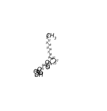 CCCCCCCCCCc1ccccc1OC(=O)CCOS(=O)(=O)O